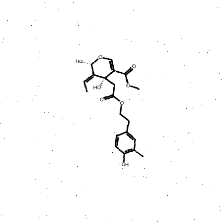 C/C=C1/[C@H](O)OC=C(C(=O)OC)[C@@]1(O)CC(=O)OCCc1ccc(O)c(C)c1